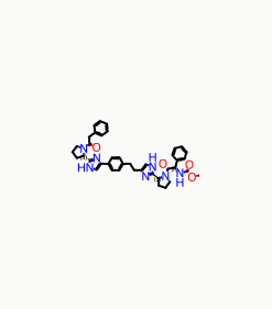 COC(=O)N[C@@H](C(=O)N1CCC[C@H]1c1nc(CCc2ccc(-c3c[nH]c([C@@H]4CCCN4C(=O)Cc4ccccc4)n3)cc2)c[nH]1)c1ccccc1